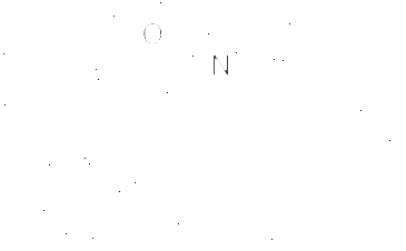 C=CC1=NOC=CC=C1